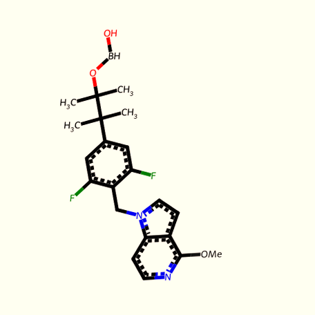 COc1nccc2c1ccn2Cc1c(F)cc(C(C)(C)C(C)(C)OBO)cc1F